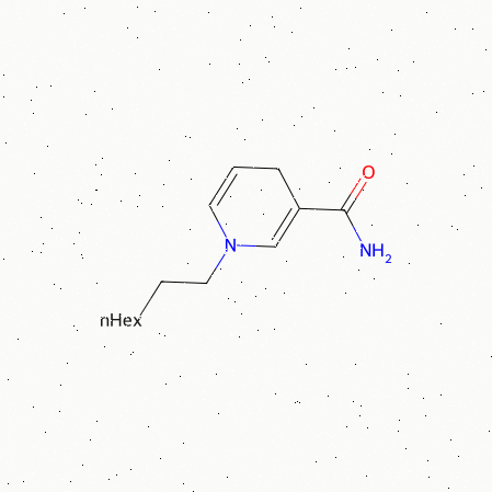 CCCCCCCCN1C=CCC(C(N)=O)=C1